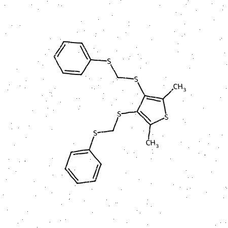 Cc1sc(C)c(SCSc2ccccc2)c1SCSc1ccccc1